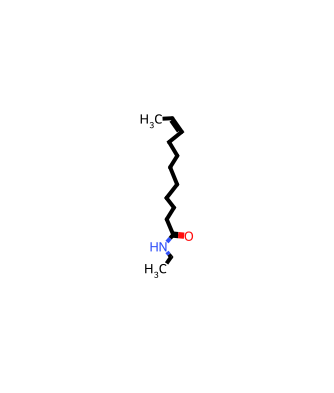 C/C=C\CCCCCCCC(=O)NCC